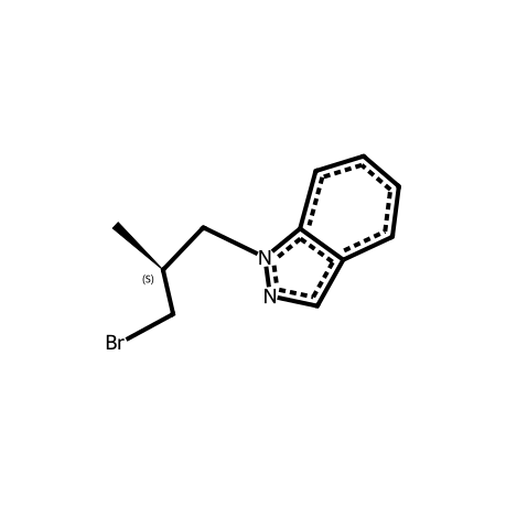 C[C@H](CBr)Cn1ncc2ccccc21